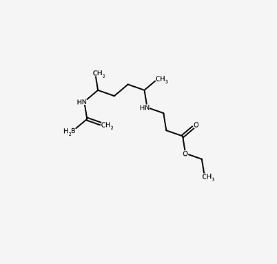 BC(=C)NC(C)CCC(C)NCCC(=O)OCC